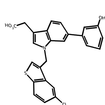 O=C(O)Cc1cn(Cc2csc3ccc(Cl)cc23)c2cc(-c3cccc(O)c3)ccc12